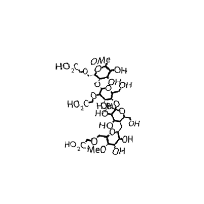 B[C@@]1(O[C@@H]2C(CO)O[C@@H](O[C@H]3C(O)C(O)C(OC)O[C@H]3COCC(=O)O)C(OCC(=O)O)[C@H]2O)O[C@@H](CO)[C@@H](C[C@@H]2OC(COCC(=O)O)[C@@H](OC)[C@H](O)C2O)C(O)C1O